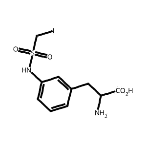 NC(Cc1cccc(NS(=O)(=O)CI)c1)C(=O)O